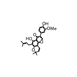 COc1cc(-c2coc3c4c(c(CC=C(C)C)c(O)c3c2=O)OC(C)(C)C=C4)ccc1O